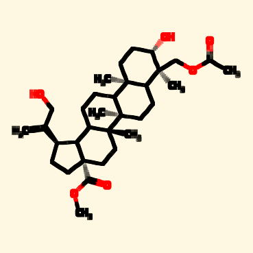 C=C(CO)[C@@H]1CC[C@]2(C(=O)OC)CC[C@]3(C)C(CCC4[C@@]5(C)CC[C@H](O)[C@@](C)(COC(C)=O)C5CC[C@]43C)C12